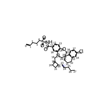 C=CCCCS(=O)(=O)NC(=O)c1ccc2c(c1)N(C[C@@H]1CC[C@H]1/C=C/CCC)C[C@@]1(CCCc3cc(Cl)ccc31)CO2